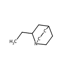 CC[C]1CC2CCN1CC2